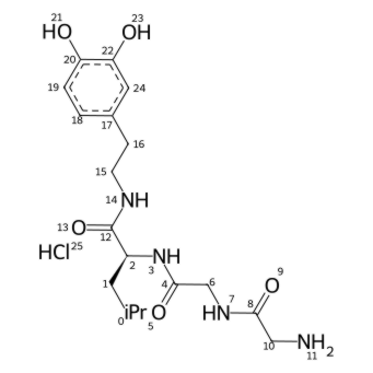 CC(C)C[C@H](NC(=O)CNC(=O)CN)C(=O)NCCc1ccc(O)c(O)c1.Cl